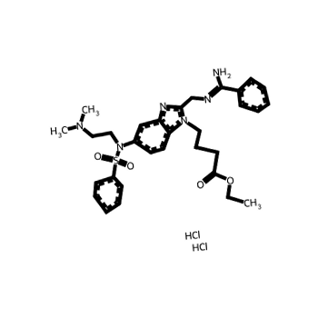 CCOC(=O)CCCn1c(CN=C(N)c2ccccc2)nc2cc(N(CCN(C)C)S(=O)(=O)c3ccccc3)ccc21.Cl.Cl